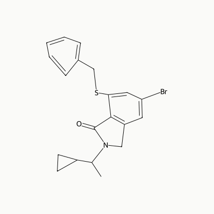 CC(C1CC1)N1Cc2cc(Br)cc(SCc3ccccc3)c2C1=O